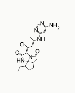 CCC1CCC(C)C12NC(=O)/C(=C(Cl)/C=C(\C)Nc1cc(N)ncn1)N2C=O